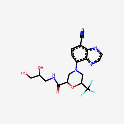 N#Cc1ccc(N2CC(C(=O)NCC(O)CO)OC(C(F)(F)F)C2)c2nccnc12